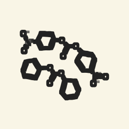 O=C(Oc1ccc([N+](=O)[O-])cc1)Oc1ccc([N+](=O)[O-])cc1.O=C(Oc1ccccc1)Oc1ccccc1